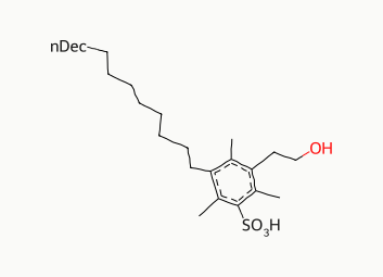 CCCCCCCCCCCCCCCCCCc1c(C)c(CCO)c(C)c(S(=O)(=O)O)c1C